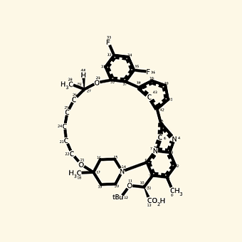 Cc1cc2nc3cn2c(c1[C@H](OC(C)(C)C)C(=O)O)N1CCC(C)(CC1)OCCCCC[C@H](C)Oc1cc(F)cc(F)c1-c1cccc-3c1